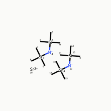 C[Si](C)(C)[N-][Si](C)(C)C.C[Si](C)(C)[N-][Si](C)(C)C.[Sr+2]